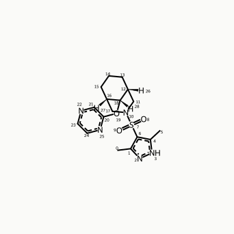 Cc1n[nH]c(C)c1S(=O)(=O)N1C[C@H]2CCC[C@@H](C1)[C@H]2Oc1cnccn1